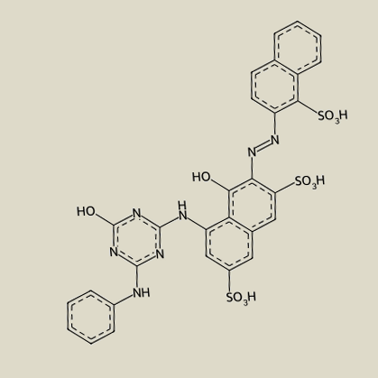 O=S(=O)(O)c1cc(Nc2nc(O)nc(Nc3ccccc3)n2)c2c(O)c(/N=N/c3ccc4ccccc4c3S(=O)(=O)O)c(S(=O)(=O)O)cc2c1